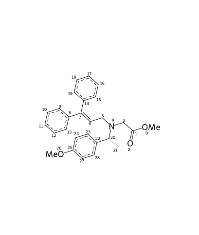 COC(=O)CN(CC=C(c1ccccc1)c1ccccc1)[C@H](C)c1ccc(OC)cc1